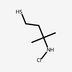 CC(C)(CCS)NCl